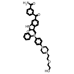 NC(=O)c1cccc(C(=O)c2ccc3c(c2)NC(=O)/C3=C\N(c2ccccc2)c2ccc(N3CCN(CCOCCO)CC3)cc2)c1